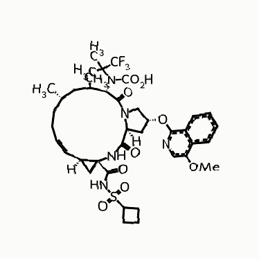 COc1cnc(O[C@@H]2C[C@H]3C(=O)N[C@]4(C(=O)NS(=O)(=O)C5CCC5)C[C@H]4C=CCC[C@H](C)C[C@@H](C)[C@H](N(C(=O)O)C(C)(C)C(F)(F)F)C(=O)N3C2)c2ccccc12